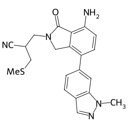 CSCC(C#N)CN1Cc2c(-c3ccc4cnn(C)c4c3)ccc(N)c2C1=O